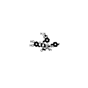 CC(C)N(C(=O)NCc1ccc(F)cc1)N1CC(=O)N2[C@@H](Cc3ccc(O)c(O)c3)C(=O)N(Cc3cccc4sc(N)nc34)C[C@@H]21